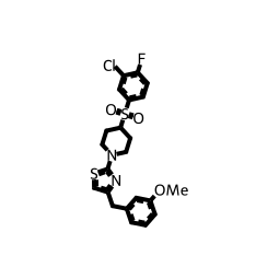 COc1cccc(Cc2csc(N3CCC(S(=O)(=O)c4ccc(F)c(Cl)c4)CC3)n2)c1